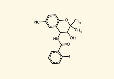 CC1(C)Oc2ccc(C#N)cc2C(NC(=O)c2ccccc2I)C1O